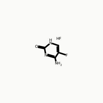 F.Nc1nc(=O)[nH]cc1F